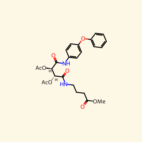 COC(=O)CCCNC(=O)[C@H](OC(C)=O)[C@@H](OC(C)=O)C(=O)Nc1ccc(Oc2ccccc2)cc1